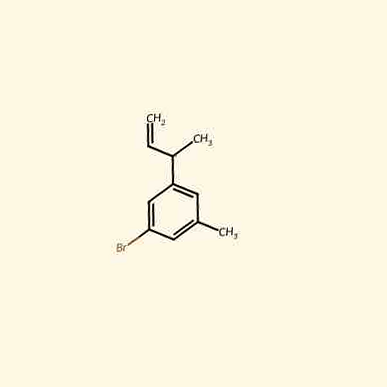 C=C[C](C)c1cc(C)cc(Br)c1